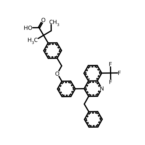 CCC(C)(C(=O)O)c1ccc(COc2cccc(-c3c(Cc4ccccc4)cnc4c(C(F)(F)F)cccc34)c2)cc1